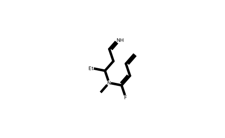 C=C/C=C(/F)N(C)C(CC)CC=N